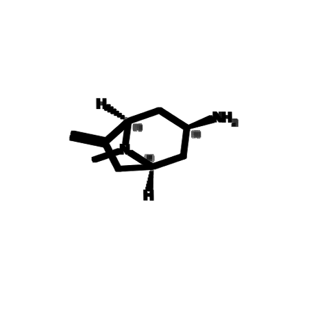 C=C1C[C@@H]2C[C@H](N)C[C@H]1N2C